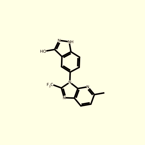 Cc1ccc2nc(C(F)(F)F)n(-c3ccc4[nH]nc(O)c4c3)c2n1